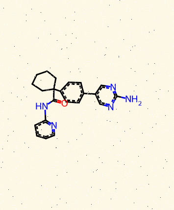 Nc1ncc(-c2ccc(C3(C(=O)Nc4ccccn4)CCCCC3)cc2)cn1